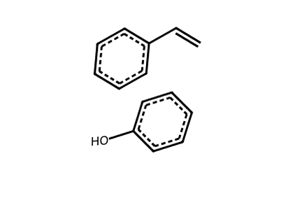 C=Cc1ccccc1.Oc1ccccc1